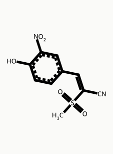 CS(=O)(=O)C(C#N)=Cc1ccc(O)c([N+](=O)[O-])c1